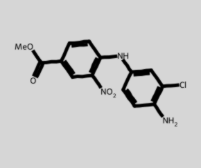 COC(=O)c1ccc(Nc2ccc(N)c(Cl)c2)c([N+](=O)[O-])c1